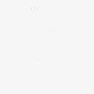 COC(=O)C12CC3CC(C1)C1(OOC4(CCCC(O[Si](c5ccccc5)(c5ccccc5)C(C)(C)C)C4)O1)C(C3)C2